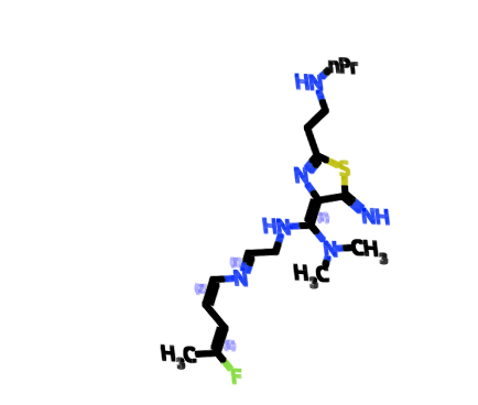 CCCNCCC1=N/C(=C(\NC/C=N/C=C\C=C(/C)F)N(C)C)C(=N)S1